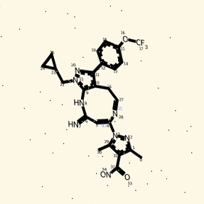 Cc1nn(C2=C/C(=N)Nc3c(c(-c4ccc(OC(F)(F)F)cc4)nn3CC3CC3)C/C=N\2)c(C)c1C(=O)N=O